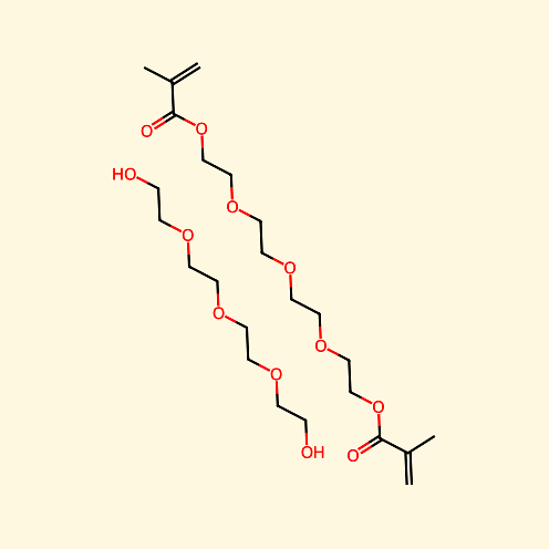 C=C(C)C(=O)OCCOCCOCCOCCOC(=O)C(=C)C.OCCOCCOCCOCCO